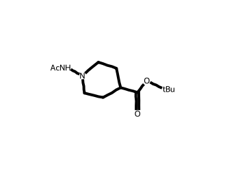 CC(=O)NN1CCC(C(=O)OC(C)(C)C)CC1